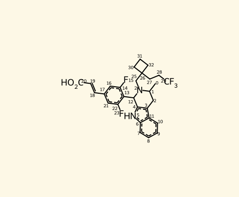 CC1Cc2c([nH]c3ccccc23)C(c2c(F)cc(/C=C/C(=O)O)cc2F)N1CC1(CCC(F)(F)F)CCC1